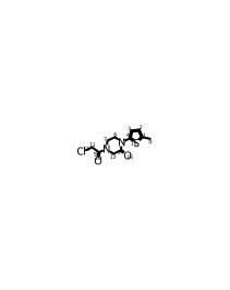 Cc1ccc(N2CCN(C(=O)CCl)CC2=O)s1